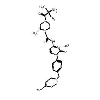 C[C@@H]1CN(C(=O)C(C)(C)N)CCN1C(=O)Nc1ccn(-c2ccc(CN3CCC(N)CC3)cc2)c(=O)n1.Cl